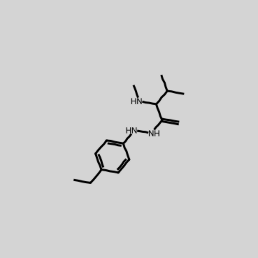 C=C(NNc1ccc(CC)cc1)C(NC)C(C)C